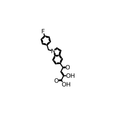 O=C(O)C(O)=CC(=O)c1ccc2c(ccn2Cc2ccc(F)cc2)c1